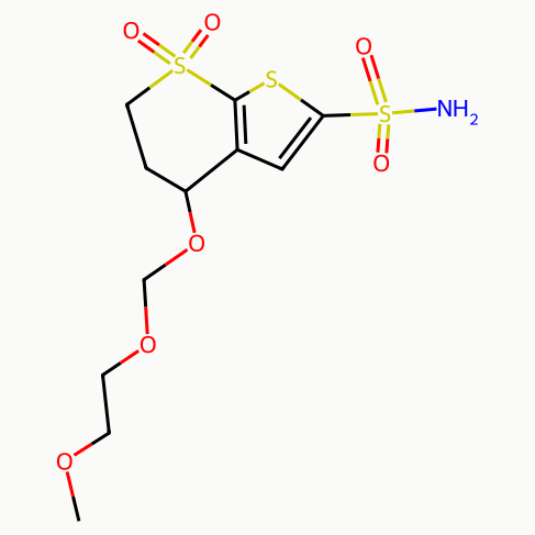 COCCOCOC1CCS(=O)(=O)c2sc(S(N)(=O)=O)cc21